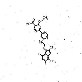 CCOc1cc(-c2cc(NCCn3c(C)cc4c(C)c(F)cc(F)c43)ncn2)ccc1C(=O)O